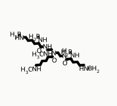 BNCCCCC(NB)C(=O)NCCN(CCNC(=O)C(CCCCNB)NB)C(=O)C(CCCCNC)NC